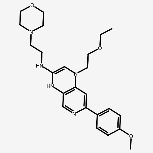 CCOCCN1C=C(NCCN2CCOCC2)Nc2cnc(-c3ccc(OC)cc3)cc21